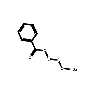 CCCCOOOOC(=O)c1ccccc1